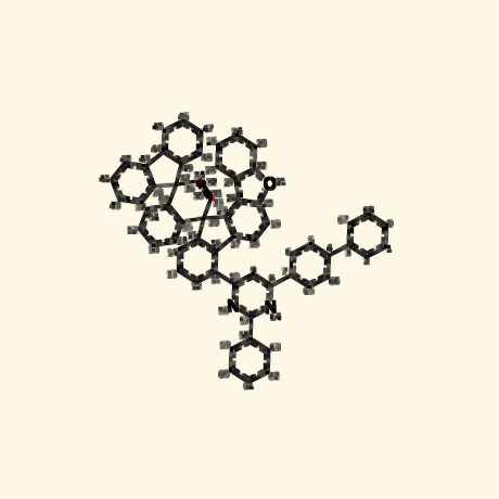 c1ccc(-c2ccc(-c3cc(-c4cccc5c4-c4ccc6oc7ccccc7c6c4C54c5ccccc5C5(c6ccccc6-c6ccccc65)c5ccccc54)nc(-c4ccccc4)n3)cc2)cc1